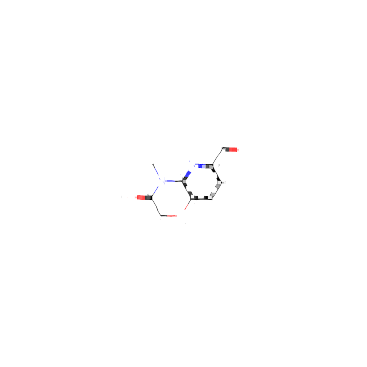 CN1C(=O)COc2ccc(C=O)nc21